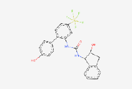 O=C(Nc1cc(S(F)(F)(F)(F)F)ccc1-c1ccc(O)cc1)NC1c2ccccc2CC1O